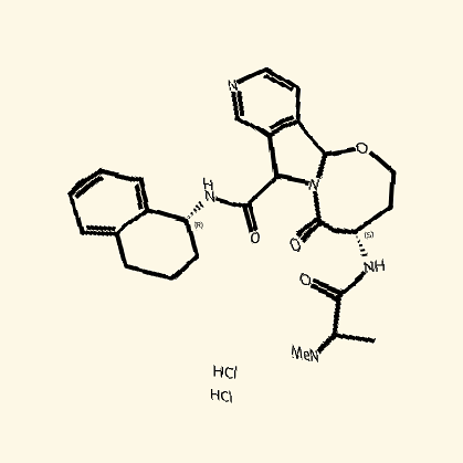 CNC(C)C(=O)N[C@H]1CCOC2c3ccncc3C(C(=O)N[C@@H]3CCCc4ccccc43)N2C1=O.Cl.Cl